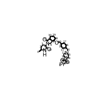 C=C1CCC(N2Cc3c(OCc4ccc(CN5CCN(S(=O)(=O)C(C)C)CC5)cc4)cccc3C2=O)C(=O)N1